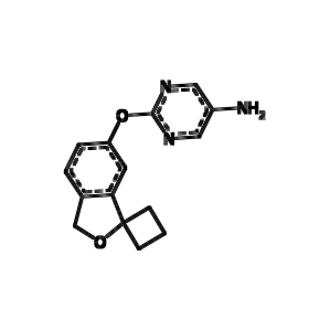 Nc1cnc(Oc2ccc3c(c2)C2(CCC2)OC3)nc1